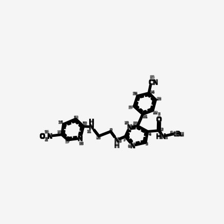 CC(C)(C)NC(=O)c1cnc(NCCNc2ccc([N+](=O)[O-])cn2)nc1-c1ccc(C#N)cc1